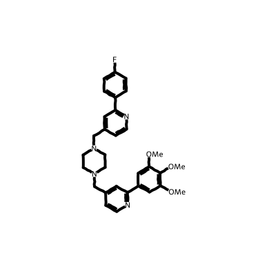 COc1cc(-c2cc(CN3CCN(Cc4ccnc(-c5ccc(F)cc5)c4)CC3)ccn2)cc(OC)c1OC